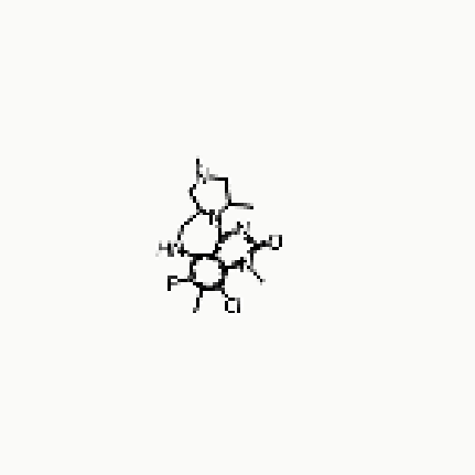 Cc1c(F)c2c3c(nc(=O)n(C)c3c1Cl)N1C(C)CN(C)CC1CN2